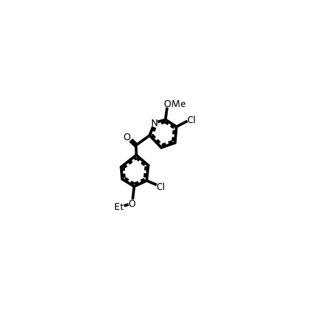 CCOc1ccc(C(=O)c2ccc(Cl)c(OC)n2)cc1Cl